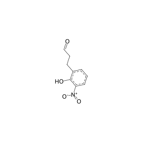 O=CCCc1cccc([N+](=O)[O-])c1O